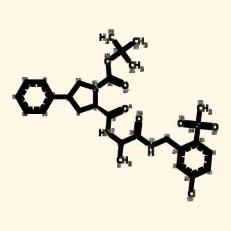 CC(NC(=O)[C@H]1CC(c2ccccc2)CN1C(=O)OC(C)(C)C)C(=O)NCc1cc(Cl)ccc1S(C)(=O)=O